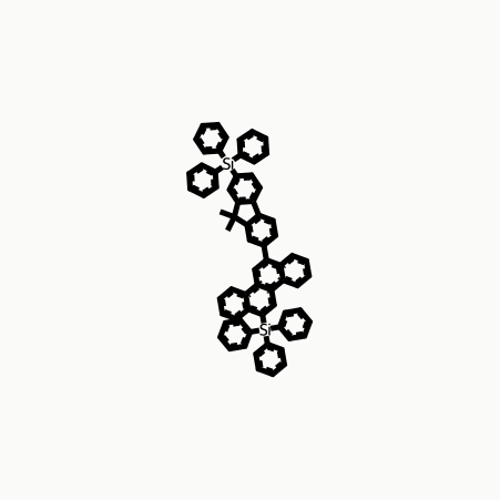 CC1(C)c2cc(-c3cc4c5ccccc5c([Si](c5ccccc5)(c5ccccc5)c5ccccc5)cc4c4ccccc34)ccc2-c2ccc([Si](c3ccccc3)(c3ccccc3)c3ccccc3)cc21